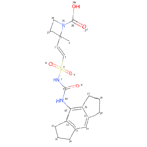 CC1(/C=C/S(=O)(=O)NC(=O)Nc2c3c(cc4c2CCC4)CCC3)CCN1C(=O)O